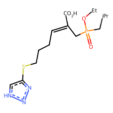 CCOP(=O)(CC(=CCCCSc1c[nH]nn1)C(=O)O)CC(C)C